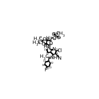 CC(Nc1c(C#N)c(Cl)nc2c1ccn2[C@@H]1O[C@H](COS(C)(=O)=O)[C@H]2OC(C)(C)O[C@H]21)c1ccc(F)cc1